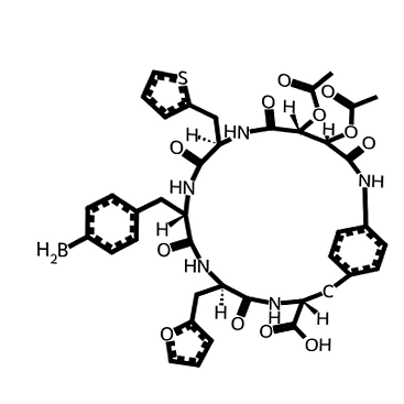 Bc1ccc(C[C@@H]2NC(=O)[C@@H](Cc3cccs3)NC(=O)[C@H](OC(C)=O)[C@@H](OC(C)=O)C(=O)Nc3ccc(cc3)C[C@H](C(=O)O)NC(=O)[C@@H](Cc3ccco3)NC2=O)cc1